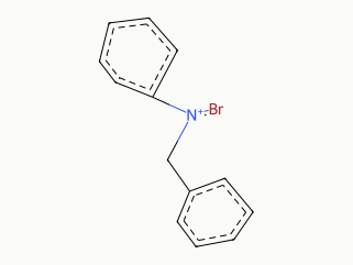 Br[N+](Cc1ccccc1)c1ccccc1